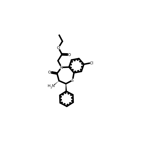 CCOC(=O)CN1C(=O)[C@@H](N)[C@H](c2ccccc2)Sc2cc(Cl)ccc21